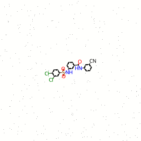 N#Cc1cccc(NC(=O)c2cccc(NS(=O)(=O)c3ccc(Cl)c(Cl)c3)c2)c1